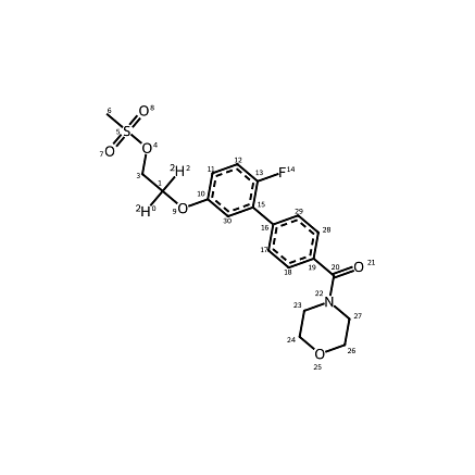 [2H]C([2H])(COS(C)(=O)=O)Oc1ccc(F)c(-c2ccc(C(=O)N3CCOCC3)cc2)c1